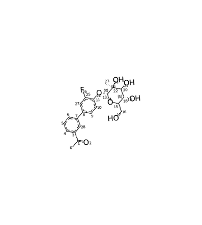 CC(=O)c1cccc(-c2ccc(O[C@H]3OC(CO)[C@@H](O)C(O)[C@]3(C)O)c(F)c2)c1